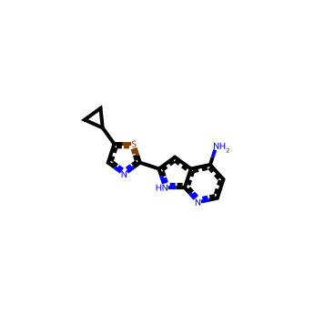 Nc1ccnc2[nH]c(-c3ncc(C4CC4)s3)cc12